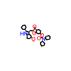 COc1ccc2[nH]c(-c3ccccc3)c(C=C3Oc4cc(OC(=O)N(c5ccccc5)c5ccccc5)ccc4C3=O)c2c1